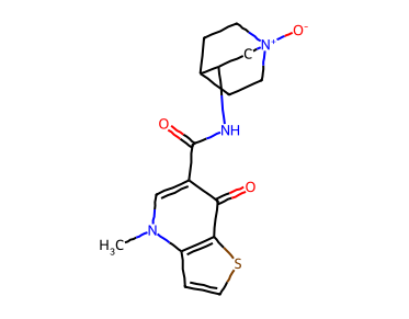 Cn1cc(C(=O)NC2C[N+]3([O-])CCC2CC3)c(=O)c2sccc21